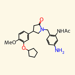 COc1ccc(C2CC(=O)N(Cc3ccc(N)cc3NC(C)=O)C2)cc1OC1CCCC1